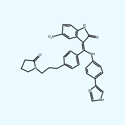 O=C1Nc2ccc([N+](=O)[O-])cc2/C1=C(/Nc1ccc(-c2c[nH]cn2)cc1)c1ccc(CCCN2CCCC2=O)cc1